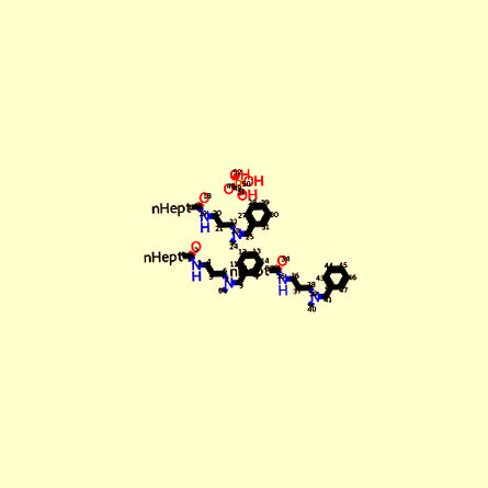 CCCCCCCC(=O)NCCCN(C)Cc1ccccc1.CCCCCCCC(=O)NCCCN(C)Cc1ccccc1.CCCCCCCC(=O)NCCCN(C)Cc1ccccc1.O=P(O)(O)O